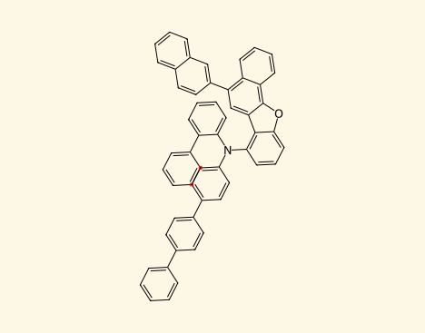 c1ccc(-c2ccc(-c3ccc(N(c4ccccc4-c4ccccc4)c4cccc5oc6c7ccccc7c(-c7ccc8ccccc8c7)cc6c45)cc3)cc2)cc1